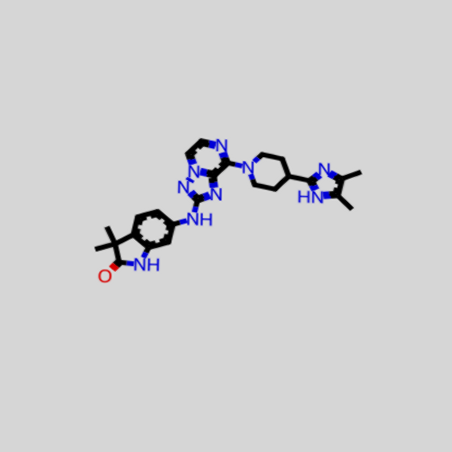 Cc1nc(C2CCN(c3nccn4nc(Nc5ccc6c(c5)NC(=O)C6(C)C)nc34)CC2)[nH]c1C